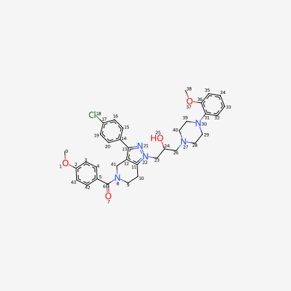 COc1ccc(C(=O)N2CCc3c(c(-c4ccc(Cl)cc4)nn3CC(O)CN3CCN(c4ccccc4OC)CC3)C2)cc1